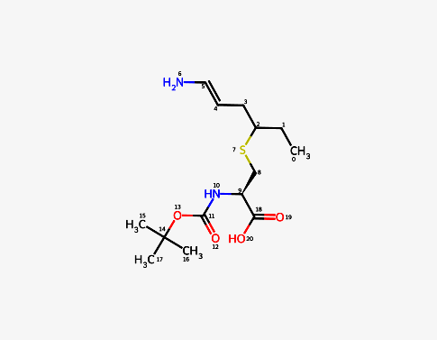 CCC(C/C=C/N)SC[C@H](NC(=O)OC(C)(C)C)C(=O)O